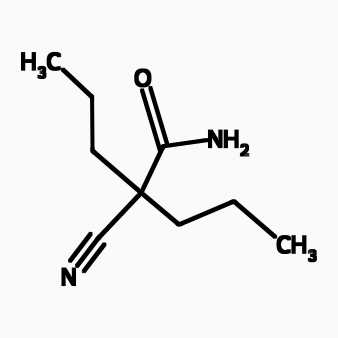 CCCC(C#N)(CCC)C(N)=O